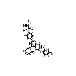 CCNC(=O)Nc1ccc(-c2nc3c(c(N4CCOC[C@@H]4C)n2)CCN(Cc2cccc(C)n2)C3)cc1